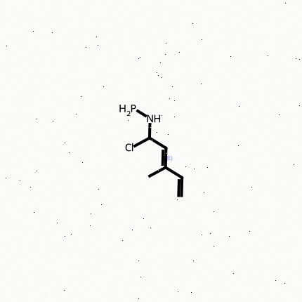 C=C/C(C)=C/C(Cl)NP